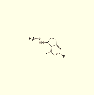 Cc1cc(F)cc2c1C(NSN)CC2